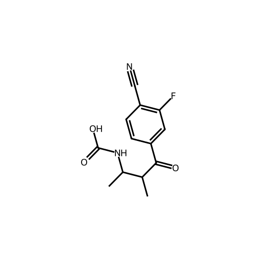 CC(NC(=O)O)C(C)C(=O)c1ccc(C#N)c(F)c1